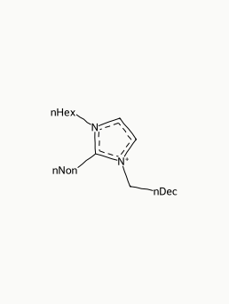 CCCCCCCCCCC[n+]1ccn(CCCCCC)c1CCCCCCCCC